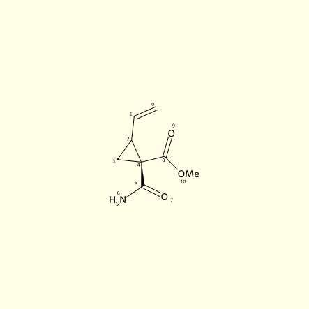 C=CC1C[C@@]1(C(N)=O)C(=O)OC